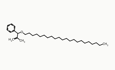 C=C(C)C(OCCCCCCCCCCCCCCCCCCCCCC)c1ccccc1